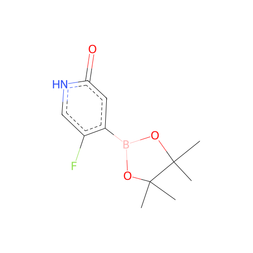 CC1(C)OB(c2cc(=O)[nH]cc2F)OC1(C)C